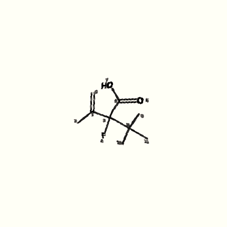 C=C(C)C(F)(C(=O)O)C(C)(C)C